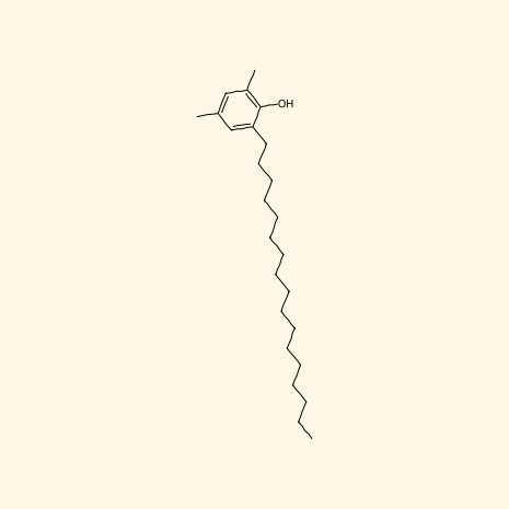 CCCCCCCCCCCCCCCCCc1cc(C)cc(C)c1O